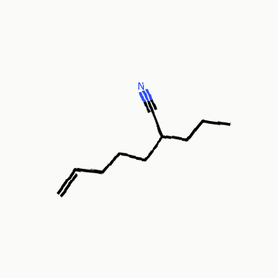 C=CCCCC(C#N)CCC